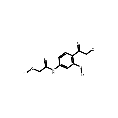 CCOCC(=O)Nc1ccc(C(=O)CCl)c(OCC)c1